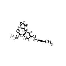 CC#CCOc1cnc(C(N)=O)c(-c2cscn2)c1